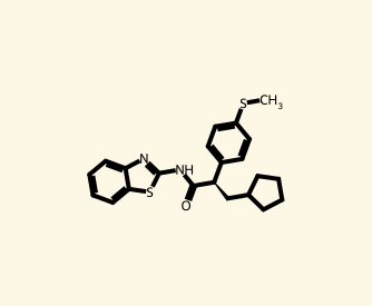 CSc1ccc([C@@H](CC2CCCC2)C(=O)Nc2nc3ccccc3s2)cc1